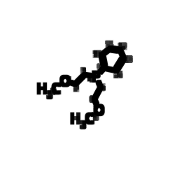 COCCP(CCOC)c1ccccc1